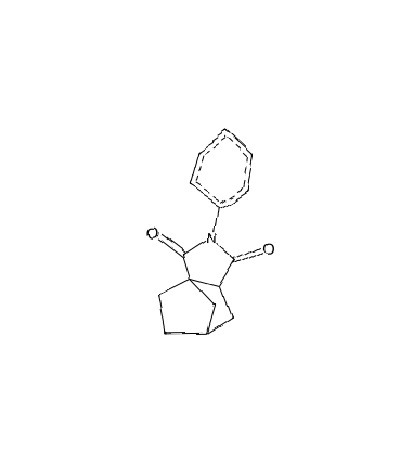 O=C1C2CC3CCC2(C3)C(=O)N1c1ccccc1